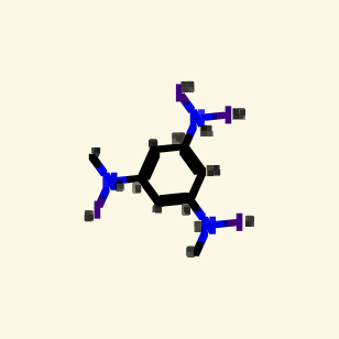 CN(I)c1cc(N(C)I)cc(N(I)I)c1